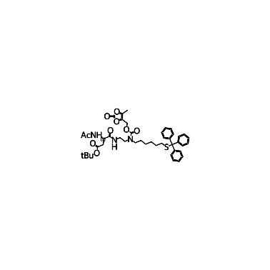 CC(=O)N[C@@H](CC(=O)OC(C)(C)C)C(=O)NCCN(CCCCCCSC(c1ccccc1)(c1ccccc1)c1ccccc1)C(=O)OCc1oc(=O)oc1C